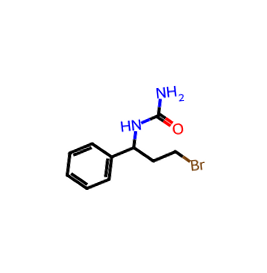 NC(=O)NC(CCBr)c1ccccc1